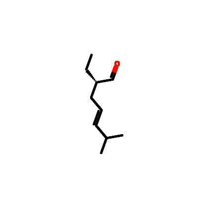 CC[C@H](C=O)C/C=C/C(C)C